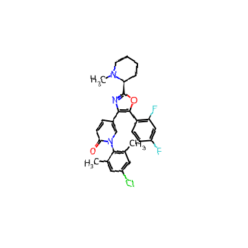 Cc1cc(Cl)cc(C)c1-n1cc(-c2nc([C@@H]3CCCCN3C)oc2-c2ccc(F)cc2F)ccc1=O